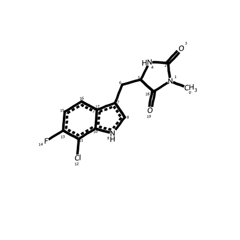 CN1C(=O)NC(Cc2c[nH]c3c(Cl)c(F)ccc23)C1=O